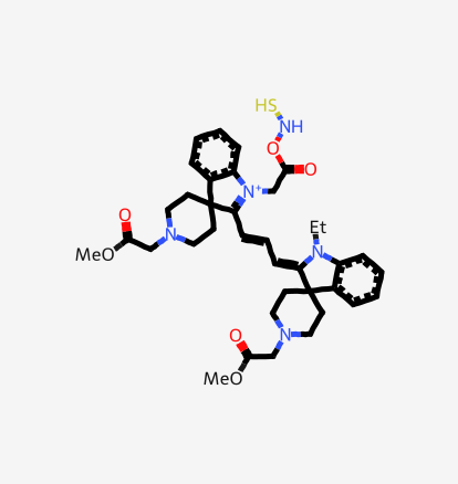 CCN1C(=CC=CC2=[N+](CC(=O)ONS)c3ccccc3C23CCN(CC(=O)OC)CC3)C2(CCN(CC(=O)OC)CC2)c2ccccc21